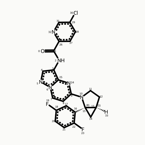 O=C(Nc1cnn2ccc(N3CC[C@H]4C[C@]43c3cc(F)ccc3F)nc12)c1ccc(Cl)cn1